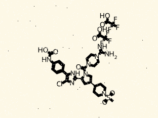 CS(=O)(=O)N1CCC([C@H]2C[C@@H](c3nc(Cl)c(-c4ccc(NC(=O)O)cc4)[nH]3)N(C(=O)N3CCN(C(=N)N)CC3)C2)CC1.O=C(O)C(F)(F)F.O=C(O)C(F)(F)F